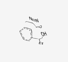 CCC(O)c1ccccc1.CCC=O.N#N